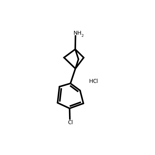 Cl.NC12CC(c3ccc(Cl)cc3)(C1)C2